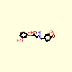 Oc1cccc(OCC(O)CNCc2ccc3c(c2)OCO3)c1